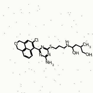 CC(CO)CC(O)NCCCSc1nc(N)nc(-c2c(Cl)cc3c4c(cccc24)COC3)n1